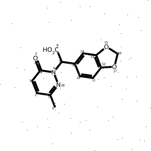 Cc1ccc(=O)n(C(C(=O)O)c2ccc3c(c2)OCO3)n1